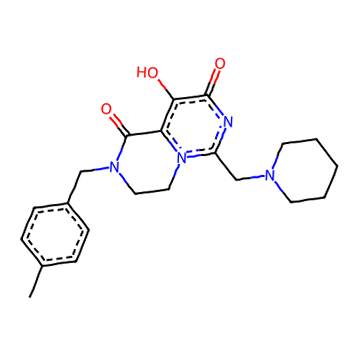 Cc1ccc(CN2CCn3c(CN4CCCCC4)nc(=O)c(O)c3C2=O)cc1